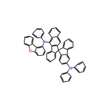 c1ccc(N(c2ccccc2)c2ccc3c(c2)-c2ccccc2C32c3ccccc3-c3c2cc2ccccc2c3N(c2ccccc2)c2cccc3oc4ccccc4c23)cc1